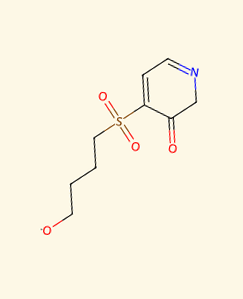 [O]CCCCS(=O)(=O)C1=CC=NCC1=O